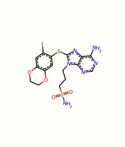 Nc1ncnc2c1nc(Sc1cc3c(cc1I)OCCO3)n2CCCS(N)(=O)=O